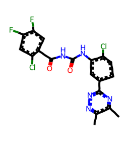 Cc1nnc(-c2ccc(Cl)c(NC(=O)NC(=O)c3cc(F)c(F)cc3Cl)c2)nc1C